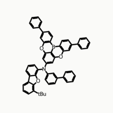 CC(C)(C)c1cccc2c1oc1c(N(c3cccc(-c4ccccc4)c3)c3cc4c5c(c3)Oc3cc(-c6ccccc6)ccc3B5c3ccc(-c5ccccc5)cc3O4)cccc12